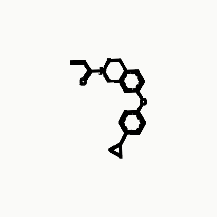 C=CC(=O)N1CCc2ccc(Oc3ccc(C4CC4)cc3)cc2C1